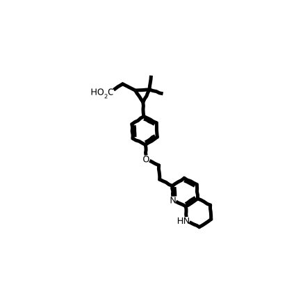 CC1(C)C(CC(=O)O)C1c1ccc(OCCc2ccc3c(n2)NCCC3)cc1